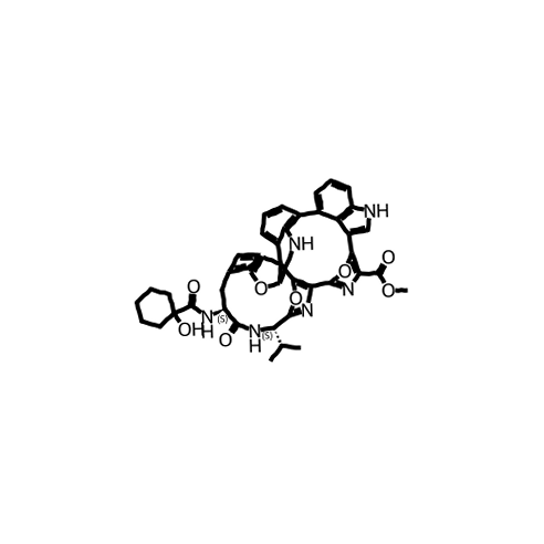 COC(=O)c1nc2oc1-c1c[nH]c3cccc(c13)-c1cccc3c1NC1Oc4ccc5cc4C31c1oc(nc1-2)[C@H](C(C)C)NC(=O)[C@@H](NC(=O)C1(O)CCCCC1)C5